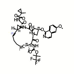 CC[C@@H]1C[C@H](C)CC/C=C\[C@@H]2C[C@@]2(C(=O)NS(=O)(=O)C2(C)CC2)NC(=O)[C@@H]2C[C@@H](Oc3nccc4cc(OC)ccc34)CN2C(=O)[C@H]1NC(=O)OC(C)(C)C(F)(F)F